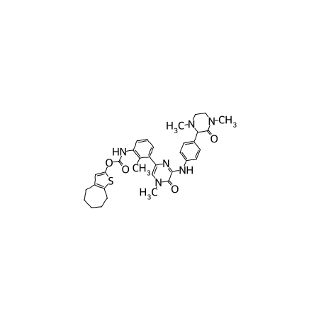 Cc1c(NC(=O)Oc2cc3c(s2)CCCCC3)cccc1-c1cn(C)c(=O)c(Nc2ccc(C3C(=O)N(C)CCN3C)cc2)n1